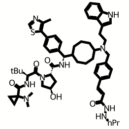 CCCNNC(=O)/C=C/c1ccc(CN(CCc2c[nH]c3ccccc23)C2CCCC([C@H](NC(=O)[C@@H]3C[C@@H](O)CN3C(=O)[C@@H](NC(=O)C3(N(C)C)CC3)C(C)(C)C)c3ccc(-c4scnc4C)cc3)CCC2)cc1